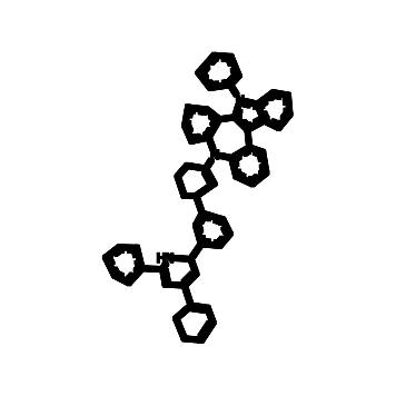 C1=CCCC(C2=CC(c3cccc(C4C=C(N5c6ccccc6-c6c(n(-c7ccccc7)c7ccccc67)-c6ccccc65)CCC4)c3)NC(c3ccccc3)=C2)=C1